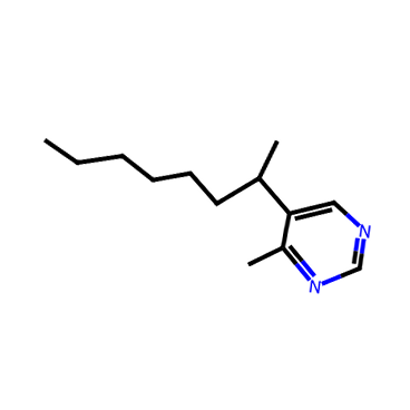 CCCCCCC(C)c1cncnc1C